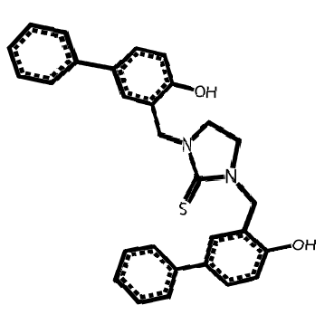 Oc1ccc(-c2ccccc2)cc1CN1CCN(Cc2cc(-c3ccccc3)ccc2O)C1=S